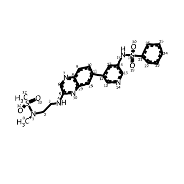 CN(CCNc1cnc2ccc(-c3cncc(NS(=O)(=O)c4ccccc4)c3)cc2n1)S(C)(=O)=O